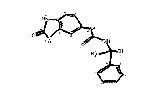 CC(C)(NC(=O)Nc1ccc2[nH]c(=O)[nH]c2c1)c1ccccc1